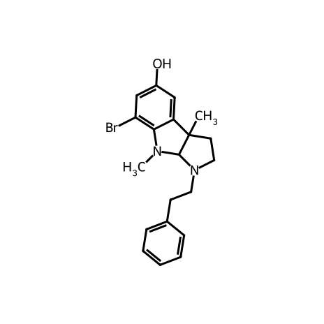 CN1c2c(Br)cc(O)cc2C2(C)CCN(CCc3ccccc3)C12